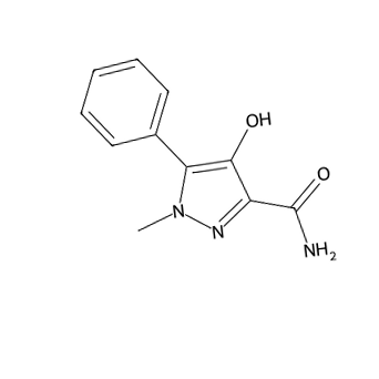 Cn1nc(C(N)=O)c(O)c1-c1ccccc1